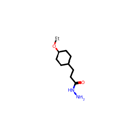 CCOC1CCC(CCC(=O)NN)CC1